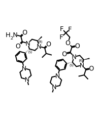 CC(C)C(=O)N1C[C@H](c2cccc(N3CCN(C)CC3)c2)N(C(=O)C(=O)OCC(F)(F)F)C[C@H]1C.CC(C)C(=O)N1C[C@H](c2cccc(N3CCN(C)CC3)c2)N(C(=O)C(N)=O)C[C@H]1C